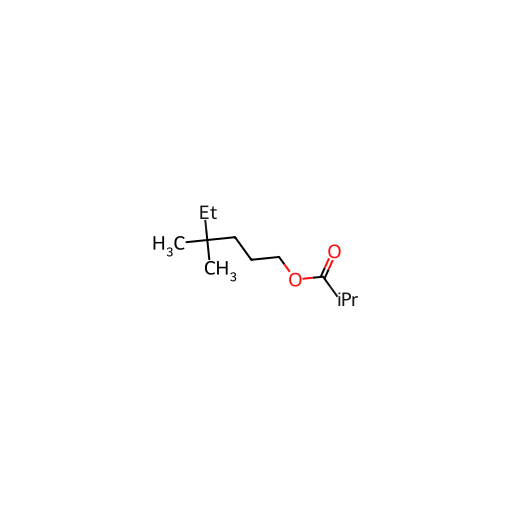 CCC(C)(C)CCCOC(=O)C(C)C